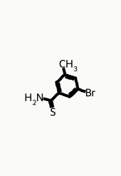 Cc1cc(Br)cc(C(N)=S)c1